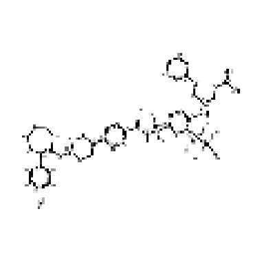 CCN(CC)CC[C@H](CSc1ccccc1)Nc1ccc(S(=O)(=O)NC(=O)c2ccc(N3CCN(CC4=C(c5ccc(Cl)cc5)CCCCC4)CC3)cc2)cc1S(=O)(=O)C(F)(F)Cl